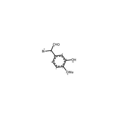 COc1ccc(C(Br)C=O)cc1O